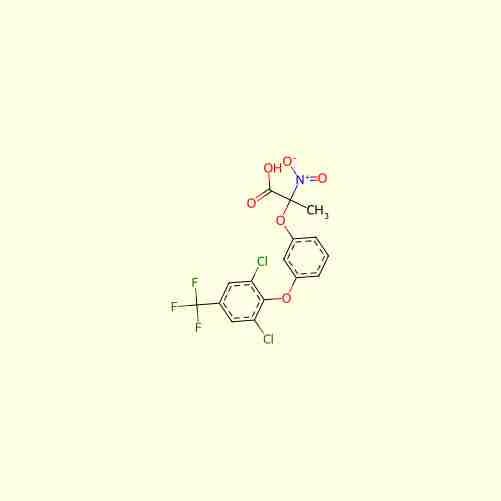 CC(Oc1cccc(Oc2c(Cl)cc(C(F)(F)F)cc2Cl)c1)(C(=O)O)[N+](=O)[O-]